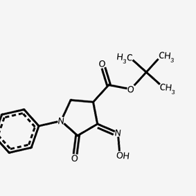 CC(C)(C)OC(=O)C1CN(c2ccccc2)C(=O)C1=NO